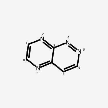 [c]1cnc2nnccc2n1